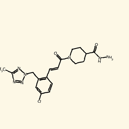 Cc1nnn(Cc2cc(Cl)ccc2C=CC(=O)N2CCC(C(=O)NN)CC2)n1